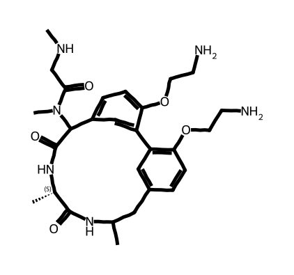 CNCC(=O)N(C)C1C(=O)N[C@@H](C)C(=O)NC(C)Cc2ccc(OCCN)c(c2)-c2cc1ccc2OCCN